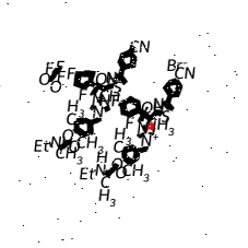 CCN[C@@H](C)C(=O)Oc1c(C)cc(C[n+]2cnn(C[C@](O)(c3ccc(F)cc3F)[C@@H](C)c3nc(-c4ccc(C#N)cc4)cs3)c2)cc1C.CCN[C@@H](C)C(=O)Oc1c(C)cc(C[n+]2cnn(C[C@](O)(c3ccc(F)cc3F)[C@@H](C)c3nc(-c4ccc(C#N)cc4)cs3)c2)cc1C.O=C([O-])C(F)(F)F.[Br-]